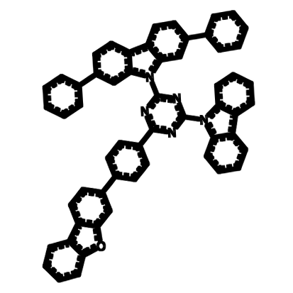 c1ccc(-c2ccc3c4ccc(-c5ccccc5)cc4n(-c4nc(-c5ccc(-c6ccc7c(c6)oc6ccccc67)cc5)nc(-n5c6ccccc6c6ccccc65)n4)c3c2)cc1